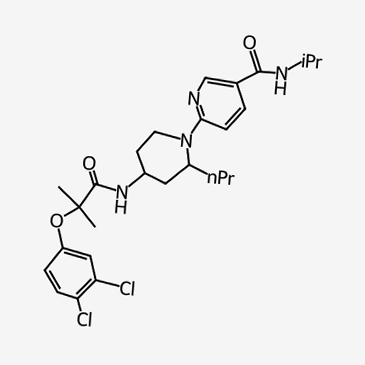 CCCC1CC(NC(=O)C(C)(C)Oc2ccc(Cl)c(Cl)c2)CCN1c1ccc(C(=O)NC(C)C)cn1